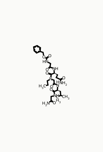 CCCN(CC(=O)N[C@@H](CC(C)C)C(=O)NCC(N)=O)C(=O)[C@H](CCC(N)=O)NC(=O)CNC(=O)OCc1ccccc1